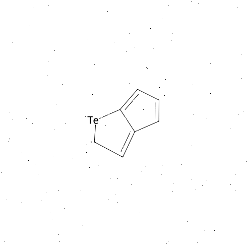 [CH]1C=C2C=CC=C2[Te]1